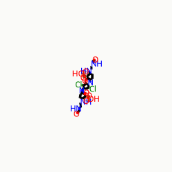 O=CNCCNc1ccc2c(c1S(=O)(=O)O)Oc1c(Cl)c3c(c(Cl)c1=N2)Oc1c(ccc(NCCNC=O)c1S(=O)(=O)O)N=3